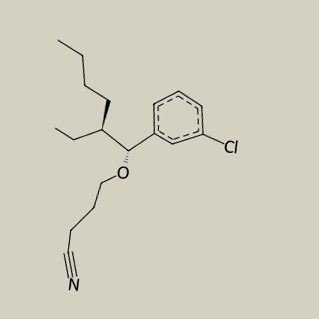 CCCC[C@H](CC)[C@@H](OCCCC#N)c1cccc(Cl)c1